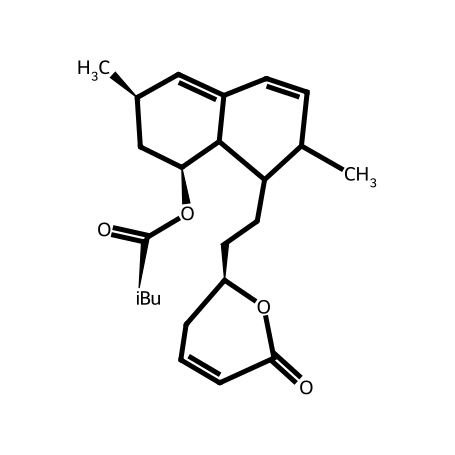 CC[C@H](C)C(=O)O[C@H]1C[C@@H](C)C=C2C=CC(C)C(CC[C@@H]3CC=CC(=O)O3)C21